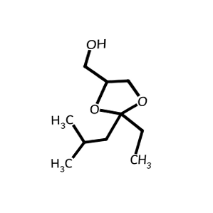 CCC1(CC(C)C)OCC(CO)O1